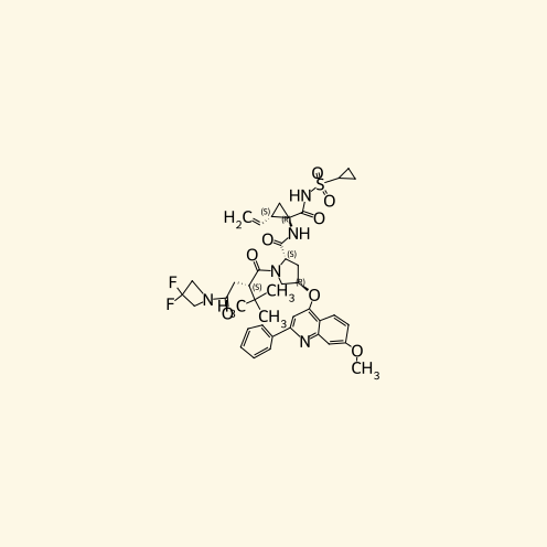 C=C[C@@H]1C[C@]1(NC(=O)[C@@H]1C[C@@H](Oc2cc(-c3ccccc3)nc3cc(OC)ccc23)CN1C(=O)[C@@H](CC(=O)N1CC(F)(F)C1)C(C)(C)C)C(=O)NS(=O)(=O)C1CC1